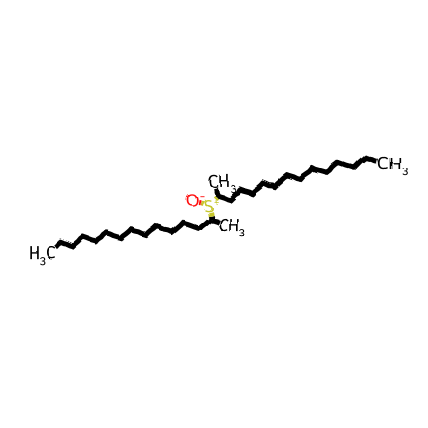 CCCCCCCCCCCCCC(C)[S+]([O-])C(C)CCCCCCCCCCCCC